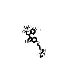 O=C(CC(c1ccc(C(F)(F)F)cc1)c1c[nH]c2cc(OCCCNc3ncc[nH]3)ccc12)OC(=O)C(F)(F)F